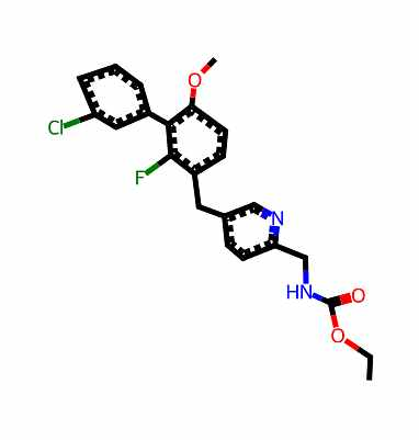 CCOC(=O)NCc1ccc(Cc2ccc(OC)c(-c3cccc(Cl)c3)c2F)cn1